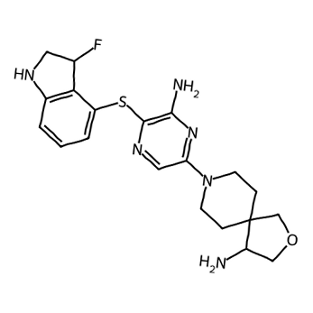 Nc1nc(N2CCC3(CC2)COCC3N)cnc1Sc1cccc2c1C(F)CN2